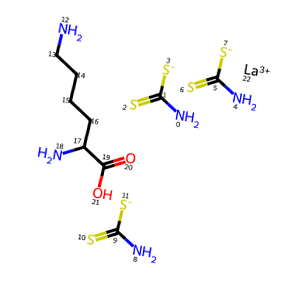 NC(=S)[S-].NC(=S)[S-].NC(=S)[S-].NCCCCC(N)C(=O)O.[La+3]